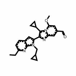 CCc1ccc2cc(-c3nc4cc(C=O)cc(OC)n4c3C3CC3)n(CC3CC3)c2n1